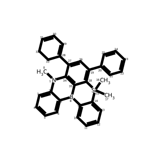 CN1c2ccccc2B2c3ccccc3[Si](C)(C)c3c(-c4ccccc4)cc(C4=CC=CCC4)c1c32